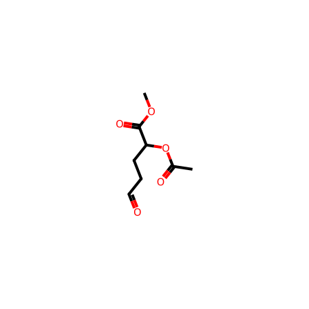 COC(=O)C(CCC=O)OC(C)=O